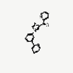 O=C(c1ccccn1)c1cn(-c2cccc(-c3ccccc3)c2)cn1